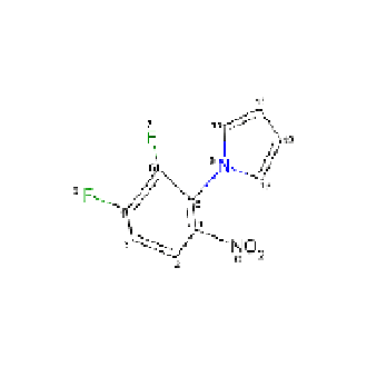 O=[N+]([O-])c1ccc(F)c(F)c1-n1cccc1